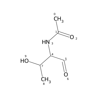 CC(=O)NC([C]=O)C(C)O